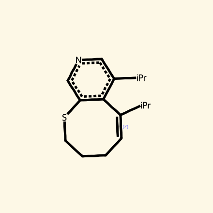 CC(C)/C1=C/CCCSc2cncc(C(C)C)c21